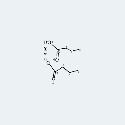 CCCC(=O)O.CCCC(=O)[O-].[K+]